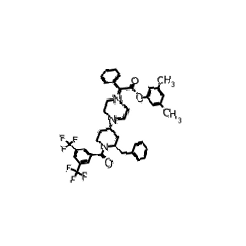 Cc1cc(C)cc(OC(=O)C(c2ccccc2)N2CCN([C@@H]3CCN(C(=O)c4cc(C(F)(F)F)cc(C(F)(F)F)c4)[C@H](Cc4ccccc4)C3)CC2)c1